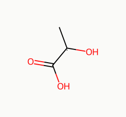 C[C](O)C(=O)O